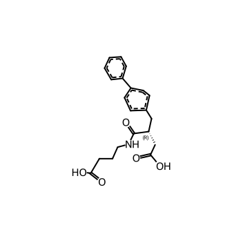 O=C(O)CCCNC(=O)[C@@H](CC(=O)O)Cc1ccc(-c2ccccc2)cc1